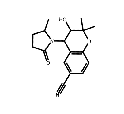 CC1CCC(=O)N1C1c2cc(C#N)ccc2OC(C)(C)C1O